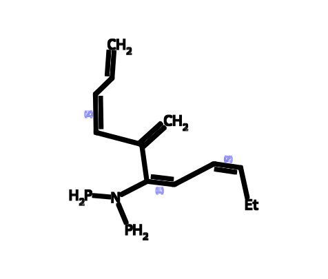 C=C/C=C\C(=C)/C(=C\C=C/CC)N(P)P